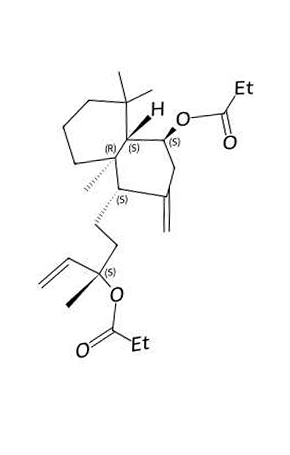 C=C[C@](C)(CC[C@H]1C(=C)C[C@H](OC(=O)CC)[C@H]2C(C)(C)CCC[C@]12C)OC(=O)CC